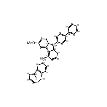 COC1=CCC2C(=C1)C1=C(NC3C=CC4=C(C3)/C(C)=C/C=C\CS4)C=CCC1N2c1ccc(-c2ccccc2)cc1